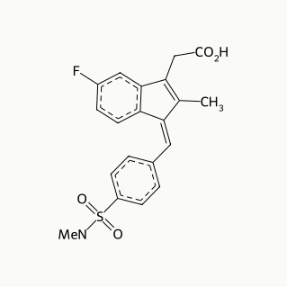 CNS(=O)(=O)c1ccc(/C=C2/C(C)=C(CC(=O)O)c3cc(F)ccc32)cc1